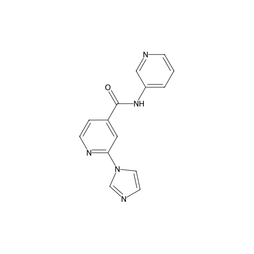 O=C(Nc1cccnc1)c1ccnc(-n2ccnc2)c1